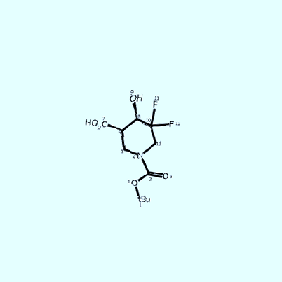 CC(C)(C)OC(=O)N1C[C@@H](C(=O)O)[C@@H](O)C(F)(F)C1